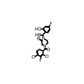 O=C(C1CC=C(Cl)C(F)=C1Cl)N1CCN2C(=NNC2c2ccc(F)cc2O)C1